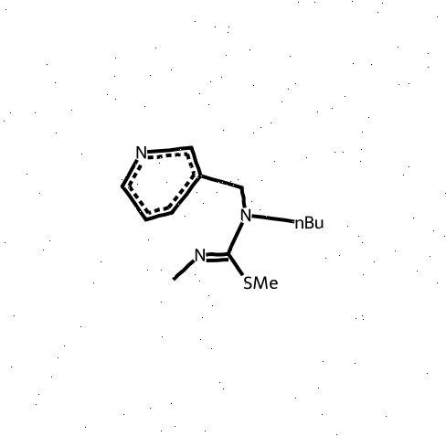 CCCCN(Cc1cccnc1)C(=NC)SC